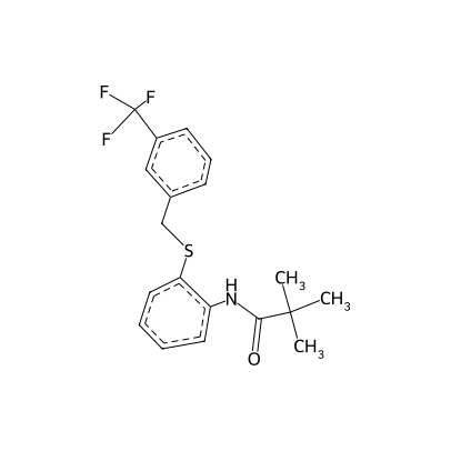 CC(C)(C)C(=O)Nc1ccccc1SCc1cccc(C(F)(F)F)c1